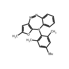 Cc1cc2c(o1)N(c1c(C)cc(C(C)(C)C)cc1C)c1ccccc1N=N2